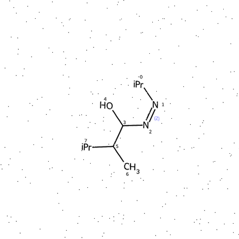 CC(C)/N=N\C(O)C(C)C(C)C